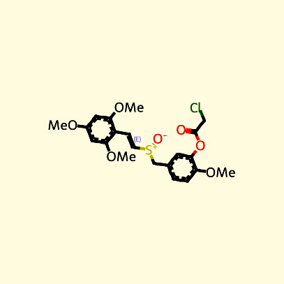 COc1cc(OC)c(/C=C/[S+]([O-])Cc2ccc(OC)c(OC(=O)CCl)c2)c(OC)c1